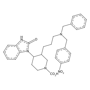 O=C(O)N1CCC(n2c(=O)[nH]c3ccccc32)C(CCCN(Cc2ccccc2)Cc2ccc([N+](=O)[O-])cc2)C1